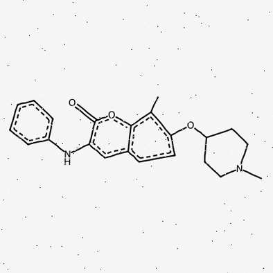 Cc1c(OC2CCN(C)CC2)ccc2cc(Nc3ccccc3)c(=O)oc12